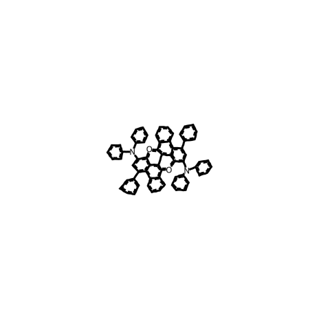 c1ccc(-c2cc(N(c3ccccc3)c3ccccc3)c3oc4c5c6c(oc7c-5c3c2c2ccccc72)c(N(c2ccccc2)c2ccccc2)cc(-c2ccccc2)c6c2ccccc42)cc1